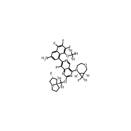 [2H]C([2H])([2H])Oc1c(F)c(F)c(F)c2cc(N)cc(-c3ncc4c(N5CCOC[C@@H]6[C@H]5[C@@]6([2H])F)nc(OC([2H])([2H])[C@@]56CCCN5C[C@H](F)C6)nc4c3F)c12